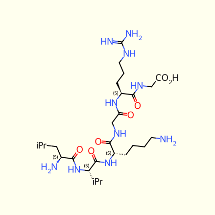 CC(C)C[C@H](N)C(=O)N[C@H](C(=O)N[C@@H](CCCCN)C(=O)NCC(=O)N[C@@H](CCCNC(=N)N)C(=O)NCC(=O)O)C(C)C